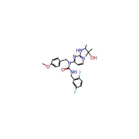 COc1ccc(CN(C(=O)NCc2cc(F)ccc2F)c2ccnc(NC(C)C(C)(C)O)n2)cc1